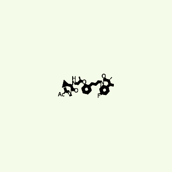 CC(=O)[C@@H](C)N(C)C(=O)[C@@H](NC[C@@H](C)Oc1ccccc1CCCNC(=O)[C@H](C)C(C)c1ccc(F)cc1)C1CC1